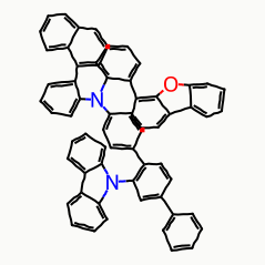 c1ccc(-c2ccc(-c3ccc(N(c4ccccc4-c4cccc5ccccc45)c4ccccc4-c4cccc5c4oc4ccccc45)cc3)c(-n3c4ccccc4c4ccccc43)c2)cc1